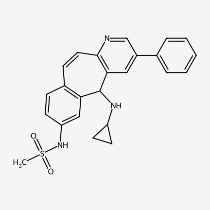 CS(=O)(=O)Nc1ccc2c(c1)C(NC1CC1)c1cc(-c3ccccc3)cnc1C=C2